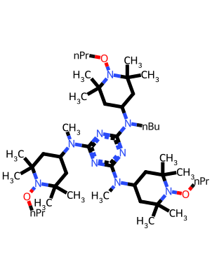 CCCCN(c1nc(N(C)C2CC(C)(C)N(OCCC)C(C)(C)C2)nc(N(C)C2CC(C)(C)N(OCCC)C(C)(C)C2)n1)C1CC(C)(C)N(OCCC)C(C)(C)C1